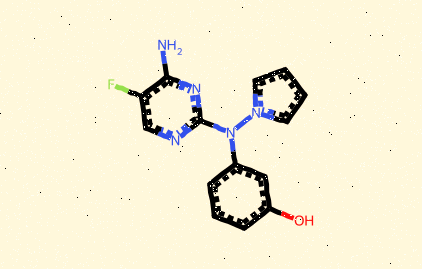 Nc1nc(N(c2cccc(O)c2)n2cccc2)ncc1F